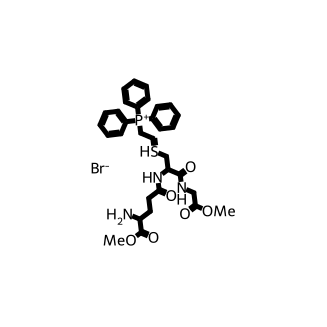 COC(=O)CNC(=O)C(C[SH]=CC[P+](c1ccccc1)(c1ccccc1)c1ccccc1)NC(=O)CCC(N)C(=O)OC.[Br-]